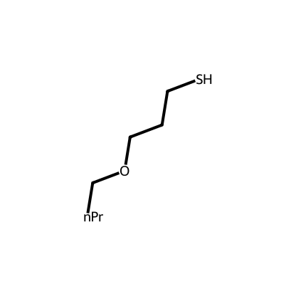 CCCCOCCCS